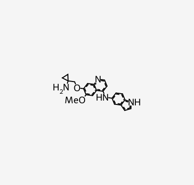 COc1cc2c(Nc3ccc4[nH]ccc4c3)ccnc2cc1OCC1(N)CC1